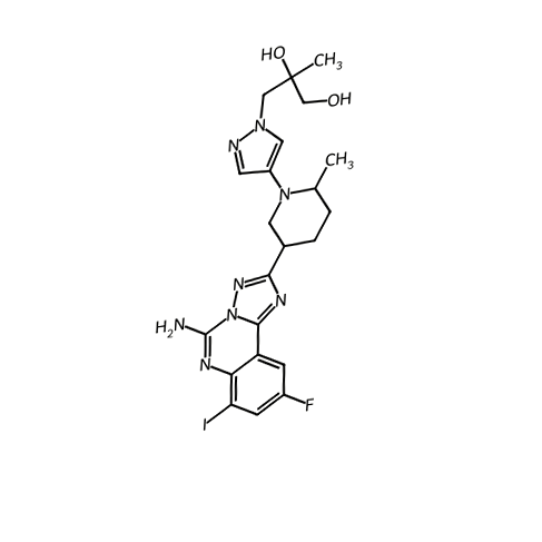 CC1CCC(c2nc3c4cc(F)cc(I)c4nc(N)n3n2)CN1c1cnn(CC(C)(O)CO)c1